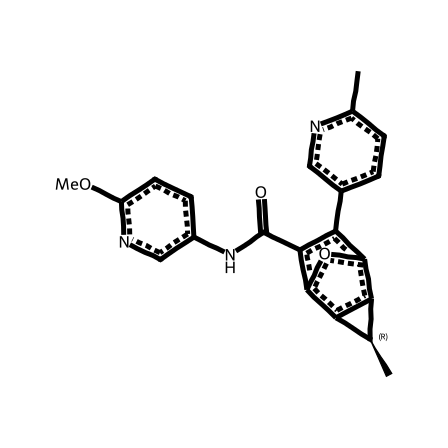 COc1ccc(NC(=O)c2c(-c3ccc(C)nc3)c3oc2c2c3[C@H]2C)cn1